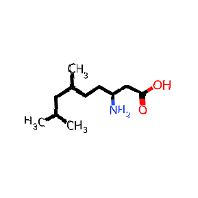 CC(C)CC(C)CCC(N)CC(=O)O